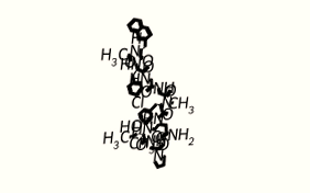 CC(=O)N[C@H](Cc1ccc2ccccc2c1)C(=O)N[C@H](Cc1ccc(Cl)cc1)C(=O)NCC(=O)NCC(=O)N(C)[C@@H](Cc1ccc(O)cc1)C(=O)NC(CC(N)=O)C(=O)N[C@@H](CC(C)C)C(=O)NCC(=O)N1CCCC1